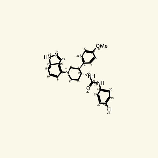 COc1ccc([C@@H]2CN(c3cccc4[nH]ncc34)CC[C@H]2NC(=O)Nc2ccc(Cl)cc2)nc1